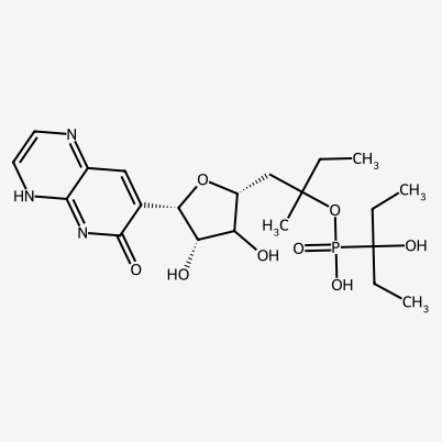 CCC(C)(C[C@H]1O[C@@H](c2cc3ncc[nH]c-3nc2=O)[C@@H](O)C1O)OP(=O)(O)C(O)(CC)CC